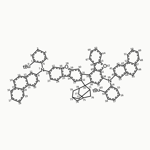 CC(C)(C)c1ccccc1N(c1ccc2c(ccc3ccccc32)c1)c1ccc2c(c1)oc1cc3c(cc12)C1(c2cc(N(c4ccc5c(ccc6ccccc65)c4)c4ccccc4C(C)(C)C)c4oc5ccccc5c4c2-3)C2CC3CC(C2)CC1C3